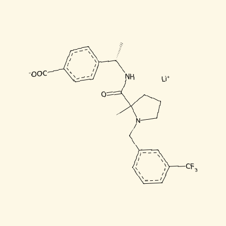 C[C@H](NC(=O)C1(C)CCCN1Cc1cccc(C(F)(F)F)c1)c1ccc(C(=O)[O-])cc1.[Li+]